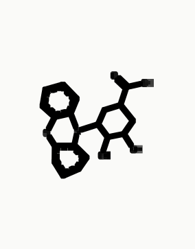 O=C(O)C1CC(O)C(O)C(N2c3ccccc3Oc3ccccc32)C1